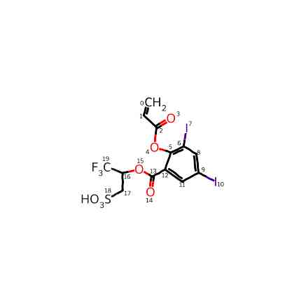 C=CC(=O)Oc1c(I)cc(I)cc1C(=O)OC(CS(=O)(=O)O)C(F)(F)F